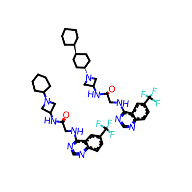 O=C(CNc1ncnc2ccc(C(F)(F)F)cc12)NC1CN(C2CCCCC2)C1.O=C(CNc1ncnc2ccc(C(F)(F)F)cc12)NC1CN([C@H]2CC[C@H](C3CCCCC3)CC2)C1